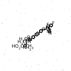 CC(CC(C)C(C)n1ncn(-c2ccc(N3CCN(c4ccc(OCC5COC(Cn6cncn6)(c6ccc(F)cc6F)O5)cc4)CC3)cc2)c1=O)C[C@H](N)C(=O)O